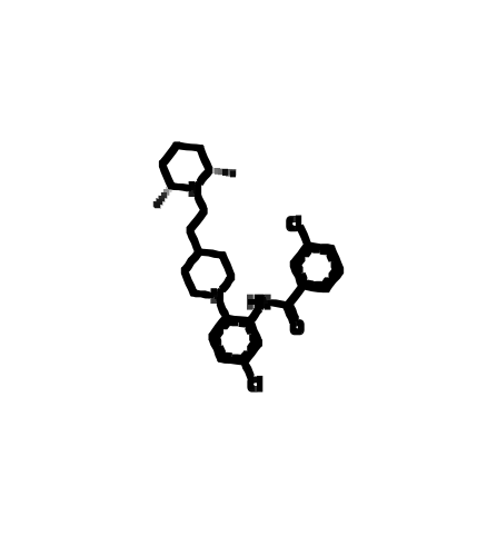 C[C@@H]1CCC[C@H](C)N1CCC1CCN(c2ccc(Cl)cc2NC(=O)c2cccc(Cl)c2)CC1